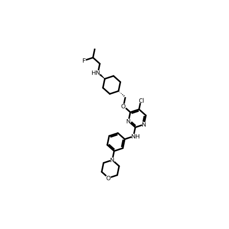 CC(F)CN[C@H]1CC[C@H](COc2nc(Nc3cccc(N4CCOCC4)c3)ncc2Cl)CC1